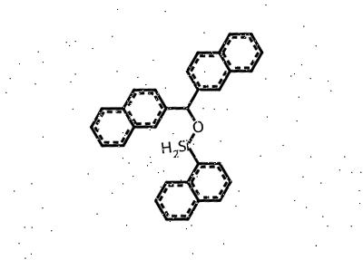 c1ccc2cc(C(O[SiH2]c3cccc4ccccc34)c3ccc4ccccc4c3)ccc2c1